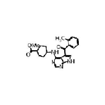 COC(=O)C1CCC(Nc2ncnc3[nH]cc(C(=O)c4ccccc4C)c23)CC1